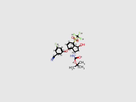 CC(C)(C)OC(=O)N[C@H]1CC(O)c2c(S(=O)(=O)C(F)(F)F)ccc(Oc3cc(F)cc(C#N)c3)c21